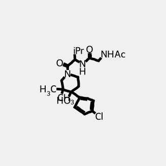 CC(=O)NCC(=O)NC(C(=O)N1CCC(O)(c2ccc(Cl)cc2)C(C)(C)C1)C(C)C